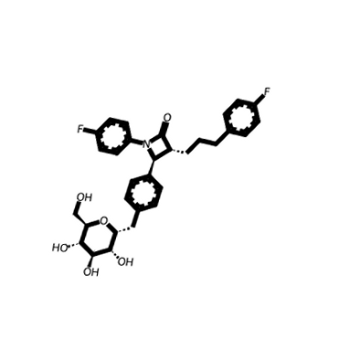 O=C1[C@H](CCCc2ccc(F)cc2)[C@@H](c2ccc(C[C@H]3O[C@H](CO)[C@@H](O)[C@H](O)[C@H]3O)cc2)N1c1ccc(F)cc1